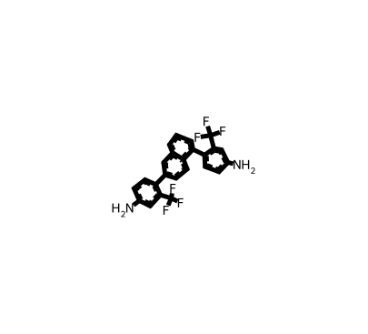 Nc1ccc(-c2ccc3c(-c4ccc(N)cc4C(F)(F)F)cccc3c2)c(C(F)(F)F)c1